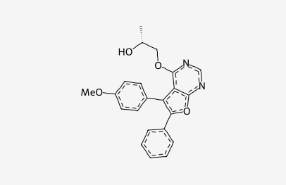 COc1ccc(-c2c(-c3ccccc3)oc3ncnc(OC[C@@H](C)O)c23)cc1